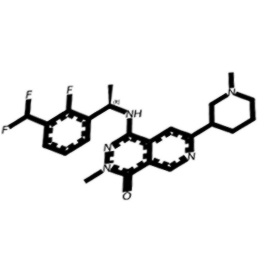 C[C@@H](Nc1nn(C)c(=O)c2cnc(C3CCCN(C)C3)cc12)c1cccc(C(F)F)c1F